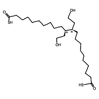 O=C(S)CCCCCCCCC[C@H](CCO)[C@@H](CCO)CCCCCCCCCC(=O)S